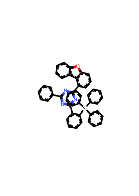 c1ccc(-c2nc(-c3ccccc3[Si](c3ccccc3)(c3ccccc3)c3ccccc3)nc(-c3cccc4oc5ccccc5c34)n2)cc1